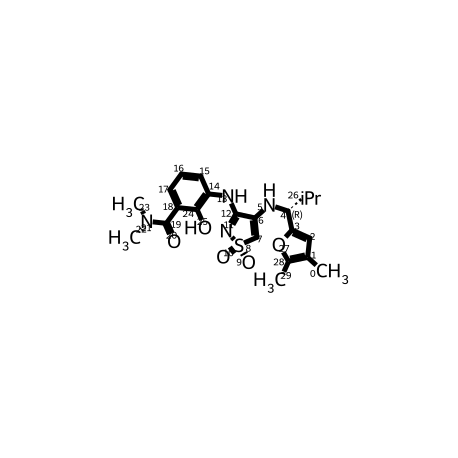 Cc1cc([C@H](NC2=CS(=O)(=O)N=C2Nc2cccc(C(=O)N(C)C)c2O)C(C)C)oc1C